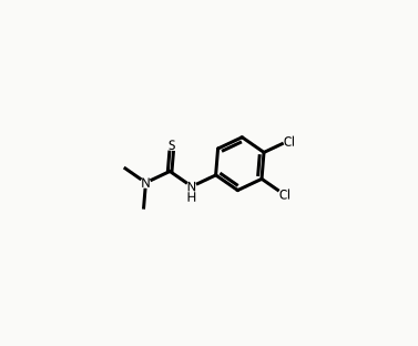 CN(C)C(=S)Nc1ccc(Cl)c(Cl)c1